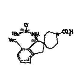 CC(C)(C)[S@@+]([O-])N[C@@H]1c2c(C#N)cccc2CC12CCN(C(=O)O)CC2